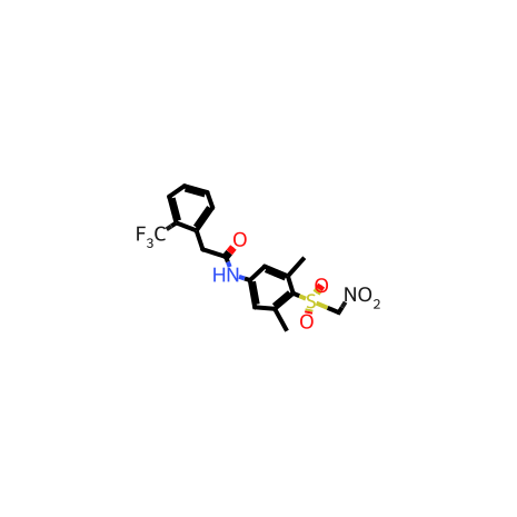 Cc1cc(NC(=O)Cc2ccccc2C(F)(F)F)cc(C)c1S(=O)(=O)C[N+](=O)[O-]